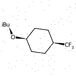 CC[C@H](C)O[C@H]1CC[C@@H](C(F)(F)F)CC1